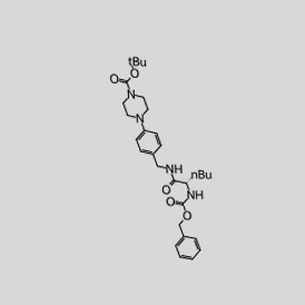 CCCC[C@H](NC(=O)OCc1ccccc1)C(=O)NCc1ccc(N2CCN(C(=O)OC(C)(C)C)CC2)cc1